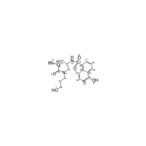 CC(CN(CCCO)C(=O)OC(C)(C)C)NS(=O)(=O)c1cccc2c(O)nccc12